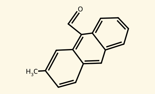 Cc1ccc2cc3ccccc3c(C=O)c2c1